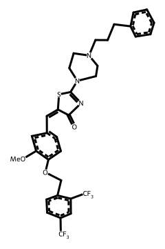 COc1cc(C=C2SC(N3CCN(CCCc4ccccc4)CC3)=NC2=O)ccc1OCc1ccc(C(F)(F)F)cc1C(F)(F)F